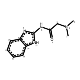 CN(C)CC(=O)Nc1nc2ccccc2[nH]1